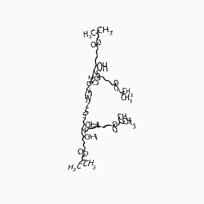 CCC(CC)COC(=O)CCCCC(O)CN(CCCCSSCCN1CCN(CCOC(=O)CCCN(CC(O)CCCCC(=O)OCCC(C)C)CC(O)CCCCC(=O)OCCC(C)C)CC1)CC(O)CCCCC(=O)OCC(CC)CC